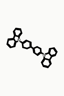 C1=C(C2=CC=C(n3c4ccccc4c4ccccc43)CC2)CCC(n2c3ccccc3c3ccccc32)=C1